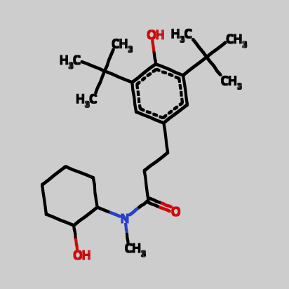 CN(C(=O)CCc1cc(C(C)(C)C)c(O)c(C(C)(C)C)c1)C1CCCCC1O